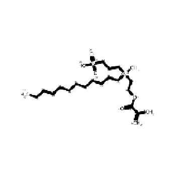 C=C(C)C(=O)OCC[N+](C)(CCCCCCCCCCCC)CCCS(=O)(=O)O